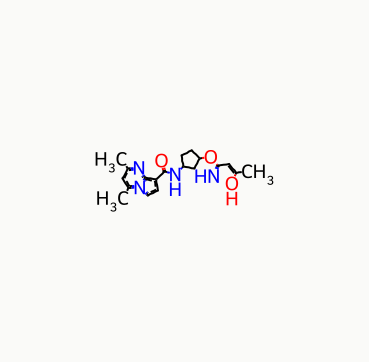 C/C(O)=C/C(=N)OC1CCC(NC(=O)c2ccn3c(C)cc(C)nc23)C1